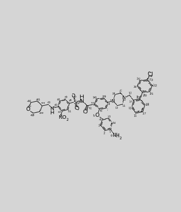 Nc1ccc(Oc2cc(N3CCN(Cc4ccccc4-c4ccc(Cl)cc4)CC3)ccc2C(=O)NS(=O)(=O)c2ccc(NCC3CCOCC3)c([N+](=O)[O-])c2)cc1